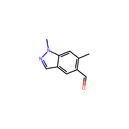 Cc1cc2c(cnn2C)cc1C=O